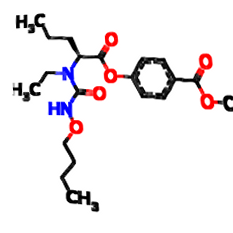 CCCCONC(=O)N(CC)[C@@H](CCC)C(=O)Oc1ccc(C(=O)OC)cc1